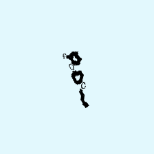 C#CCCCOc1ccc(Oc2ccccc2F)cc1